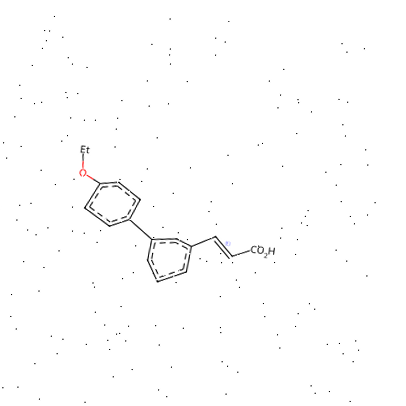 CCOc1ccc(-c2cccc(/C=C/C(=O)O)c2)cc1